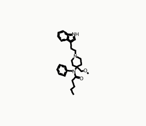 CCCCC(=O)N(c1ccccc1)C1(COC)CCN(CCc2c[nH]c3ccccc23)CC1